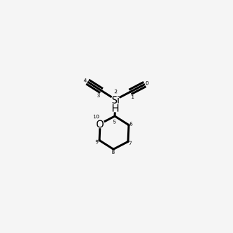 C#C[SiH](C#C)C1CCCCO1